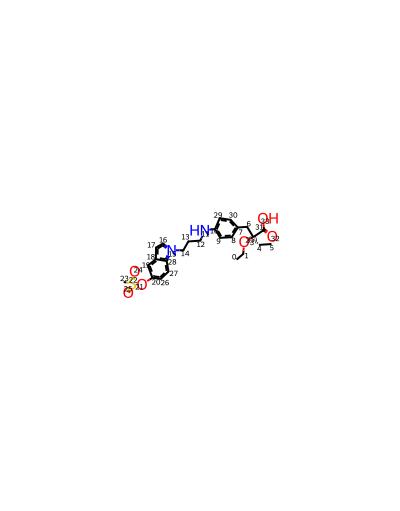 CCO[C@@](CC)(Cc1ccc(NCCCn2ccc3cc(OS(C)(=O)=O)ccc32)cc1)C(=O)O